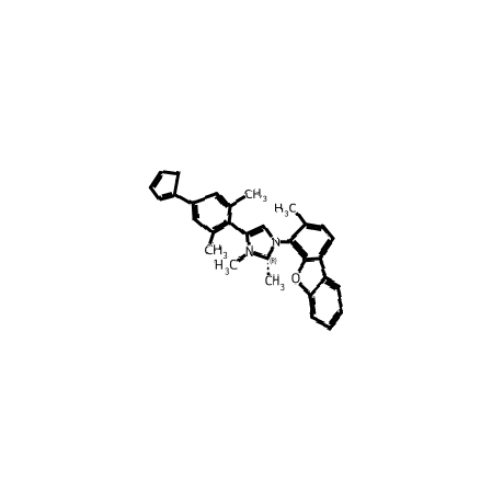 Cc1cc(C2=CC=CC2)cc(C)c1C1=CN(c2c(C)ccc3c2oc2ccccc23)[C@H](C)N1C